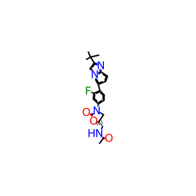 CC(=O)NC[C@H]1CN(c2ccc(-c3ccc4nc(C(C)(C)C)cn4c3)c(F)c2)C(=O)O1